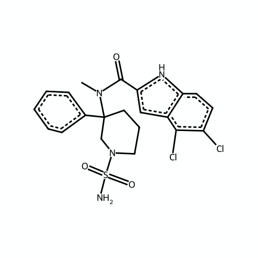 CN(C(=O)c1cc2c(Cl)c(Cl)ccc2[nH]1)C1(c2ccccc2)CCCN(S(N)(=O)=O)C1